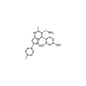 Cc1ccc(-c2cc3nc(C)c(CN)c(-c4ccc(O)cc4O)n3n2)cc1